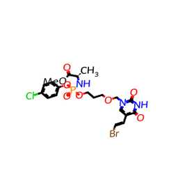 COC(=O)[C@H](C)NP(=O)(OCCCOCn1cc(/C=C/Br)c(=O)[nH]c1=O)Oc1ccc(Cl)cc1